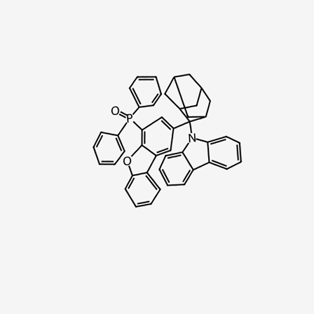 O=P(c1ccccc1)(c1ccccc1)c1cc(C2(n3c4ccccc4c4ccccc43)C3CC4CC(C3)CC2C4)cc2c1oc1ccccc12